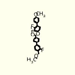 CCOCc1ccc(-c2ccc(C(=O)Oc3ccc(-c4ccc(OC)cc4)c(F)c3F)cc2)cc1F